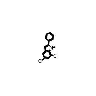 Cn1c(-c2ccccc2)cc2cc(Cl)cc(Cl)c21